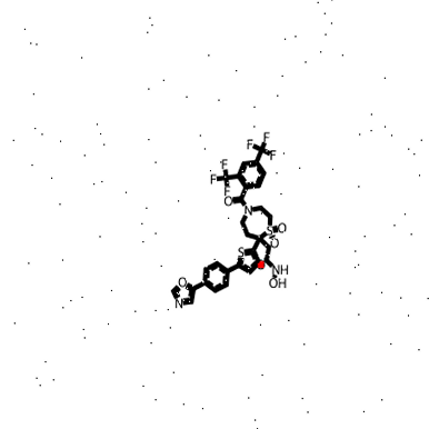 O=C(CC1(c2ccc(-c3ccc(-c4cnco4)cc3)s2)CCN(C(=O)c2ccc(C(F)(F)F)cc2C(F)(F)F)CCS1(=O)=O)NO